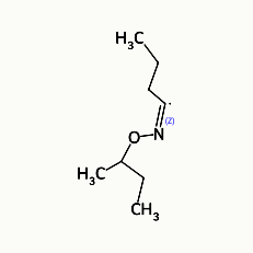 CCC/[C]=N\OC(C)CC